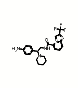 Nc1ccc(C(CNC(=O)c2cccc3nc(C(F)(F)F)cn23)N2CCCCC2)cc1